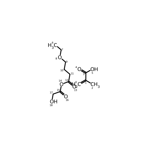 C=C(C)C(=O)O.CCOCCCC(=O)OC(=O)CO